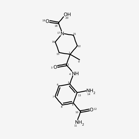 CC1(C(=O)Nc2cccc(C(N)=O)c2N)CCN(C(=O)O)CC1